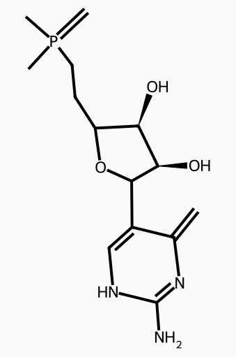 C=C1N=C(N)NC=C1C1OC(CCP(=C)(C)C)[C@@H](O)[C@H]1O